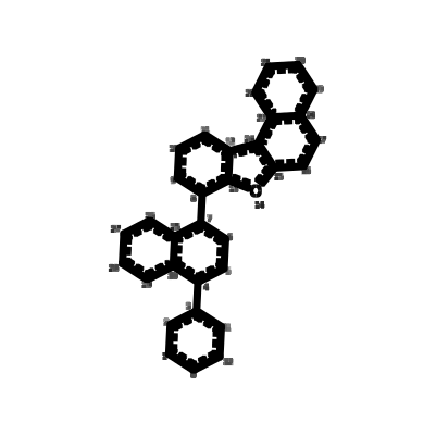 c1ccc(-c2ccc(-c3cccc4c3oc3ccc5ccccc5c34)c3ccccc23)cc1